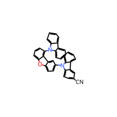 N#Cc1ccc2c(c1)c1ccccc1n2-c1ccc2oc3cccc(-n4c5ccccc5c5ccccc54)c3c2c1